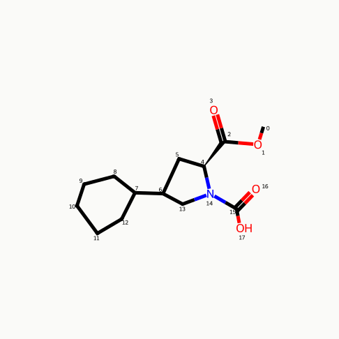 COC(=O)[C@@H]1CC(C2CCCCC2)CN1C(=O)O